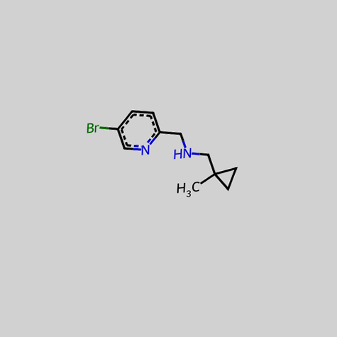 CC1(CNCc2ccc(Br)cn2)CC1